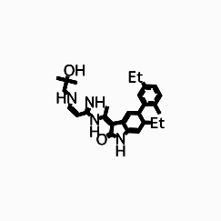 CCc1ccc(C)c(C2C=C3C(=CC2CC)NC(=O)/C3=C(/C)NC(=N)/C=C\NCC(C)(C)O)c1